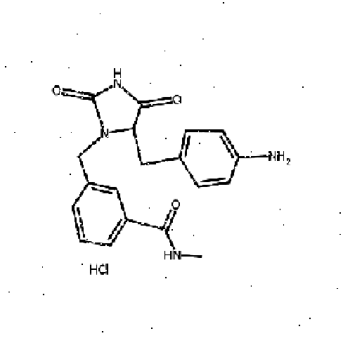 CNC(=O)c1cccc(CN2C(=O)NC(=O)C2Cc2ccc(N)cc2)c1.Cl